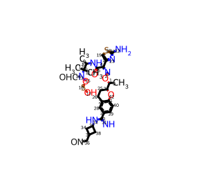 CC(O/N=C(\C(=O)NC(C)C(C)(C)N(C=O)OSO)c1csc(N)n1)C1CCc2cc(C(=N)NC3CC(CN=O)C3)ccc2O1